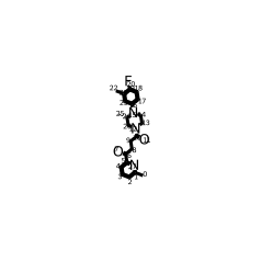 Cc1cccc(C(=O)CCC(=O)N2CCN(c3ccc(F)c(C)c3)[C@@H](C)C2)n1